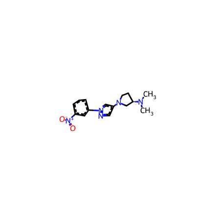 CN(C)[C@@H]1CCN(c2cnn(-c3cccc([N+](=O)[O-])c3)c2)C1